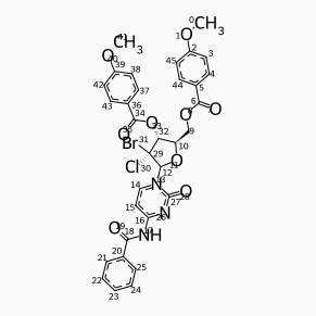 COc1ccc(C(=O)OC[C@H]2OC(n3ccc(NC(=O)c4ccccc4)nc3=O)[C@@](Cl)(Br)[C@@H]2OC(=O)c2ccc(OC)cc2)cc1